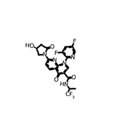 CC(NC(=O)c1cn(-c2ncc(F)cc2F)c2nc(N3C[C@@H](O)CC3=O)ccc2c1=O)C(F)(F)F